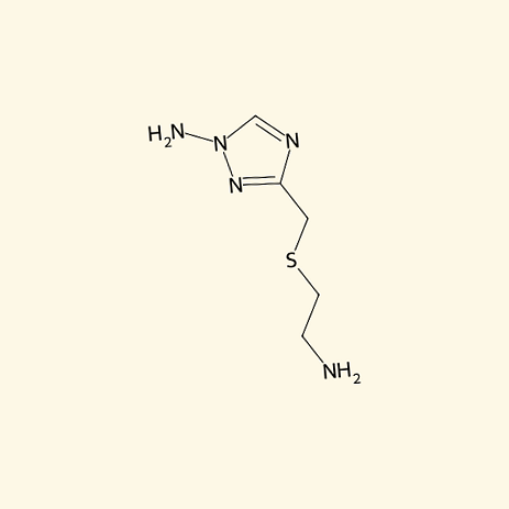 NCCSCc1ncn(N)n1